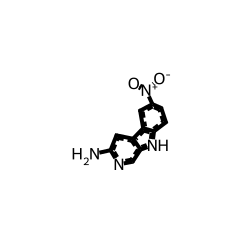 Nc1cc2c(cn1)[nH]c1ccc([N+](=O)[O-])cc12